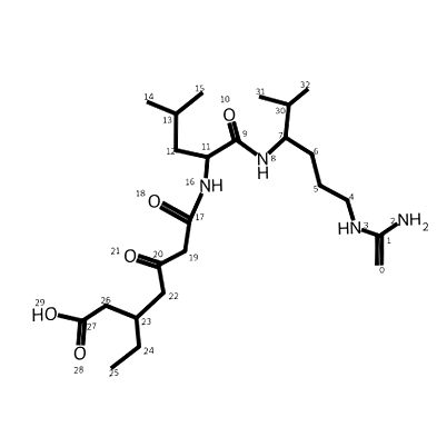 C=C(N)NCCCC(NC(=O)C(CC(C)C)NC(=O)CC(=O)CC(CC)CC(=O)O)C(C)C